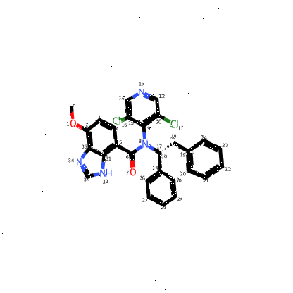 COc1ccc(C(=O)N(c2c(Cl)cncc2Cl)[C@H](Cc2ccccc2)c2ccccc2)c2[nH]cnc12